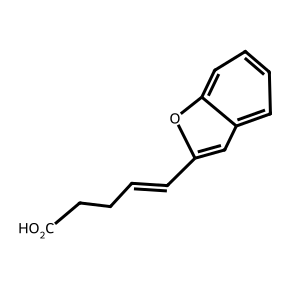 O=C(O)CC/C=C/c1cc2ccccc2o1